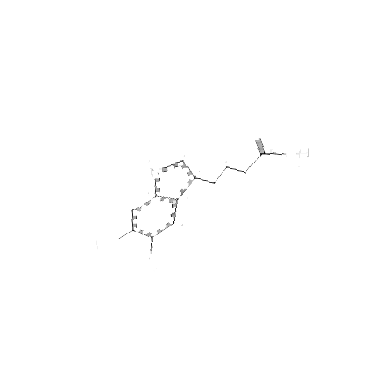 Cc1cc2[nH]cc(CCCC(=O)O)c2cc1C